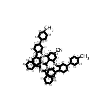 Cc1ccc(-c2ccc3c4ccccc4n(-c4cc(C#N)cc(-n5c6ccccc6c6ccc(-c7ccc(C)cc7)cc65)c4-c4nc(-c5ccccc5)nc(-c5ccccc5)n4)c3c2)cc1